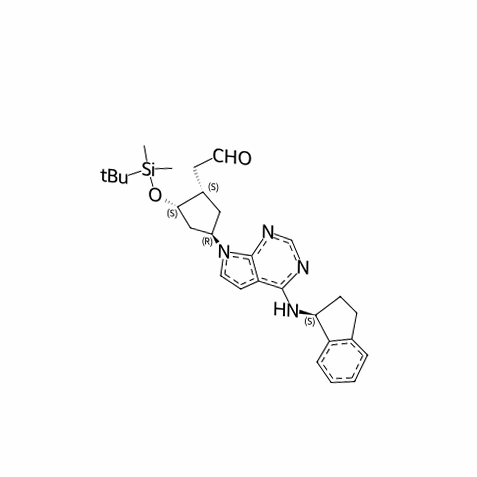 CC(C)(C)[Si](C)(C)O[C@H]1C[C@H](n2ccc3c(N[C@H]4CCc5ccccc54)ncnc32)C[C@H]1CC=O